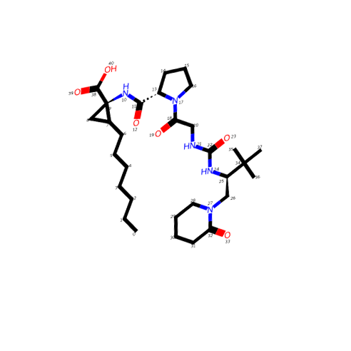 CCCCCCCC1C[C@]1(NC(=O)[C@@H]1CCCN1C(=O)CNC(=O)N[C@H](CN1CCCCC1=O)C(C)(C)C)C(=O)O